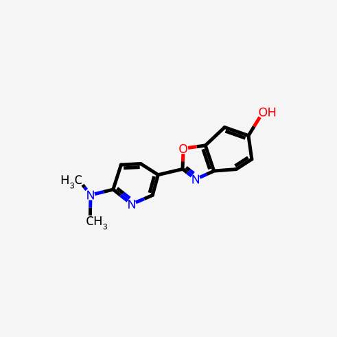 CN(C)c1ccc(-c2nc3ccc(O)cc3o2)cn1